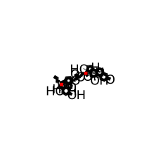 C=CCN1CC[C@]23c4c5ccc(OC(=O)OCC(=O)[C@@]6(O)CC[C@H]7[C@@H]8CCC9=CC(=O)CC[C@]9(C)[C@H]8[C@@H](O)C[C@@]76C)c4O[C@H]2C(O)CC[C@@]3(O)[C@H]1C5